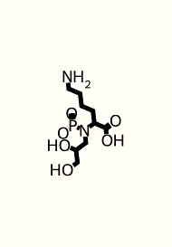 NCCCCC(C(=O)O)N(CC(O)CO)P(=O)=O